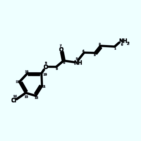 NCC=CCNC(=O)COc1ccc(Cl)cc1